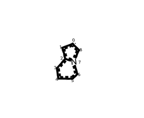 [c]1[c]c2ccccn2c1